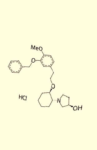 COc1ccc(CCO[C@@H]2CCCC[C@H]2N2CC[C@@H](O)C2)cc1OCc1ccccc1.Cl